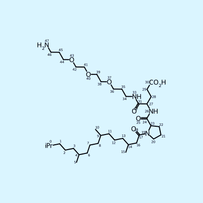 CC(C)CCCC(C)CCCC(C)CCCC(C)CC(=O)N1CCCC1C(=O)NC(CCC(=O)O)C(=O)NCCCOCCOCCOCCCN